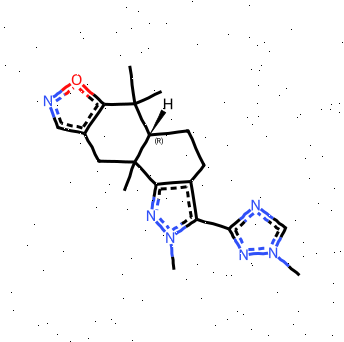 Cn1cnc(-c2c3c(nn2C)C2(C)Cc4cnoc4C(C)(C)[C@@H]2CC3)n1